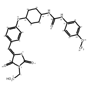 O=C(O)CN1C(=O)S/C(=C\c2ccc(OC3CCC(NC(=O)Nc4ccc(OC(F)(F)F)cc4)CC3)cc2)C1=O